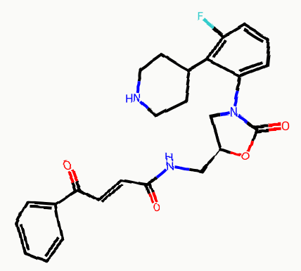 O=C(C=CC(=O)c1ccccc1)NC[C@H]1CN(c2cccc(F)c2C2CCNCC2)C(=O)O1